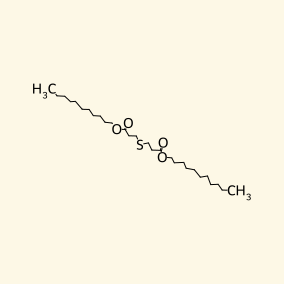 CCCCCCCCCCCOC(=O)CCSCCC(=O)OCCCCCCCCCCC